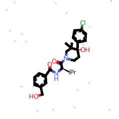 CC(C)[C@@H](NC(=O)c1cccc(CO)c1)C(=O)N1CC[C@](O)(c2ccc(Cl)cc2)C(C)(C)C1